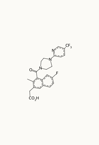 Cc1c(CC(=O)O)cc2ccc(F)cc2c1C(=O)N1CCN(c2ccc(C(F)(F)F)cn2)CC1